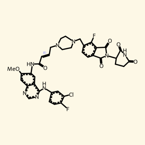 COc1cc2ncnc(Nc3ccc(F)c(Cl)c3)c2cc1NC(=O)/C=C/CN1CCN(Cc2ccc3c(c2F)C(=O)N(C2CCC(=O)NC2=O)C3=O)CC1